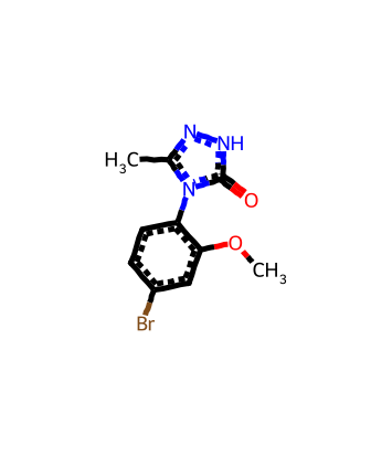 COc1cc(Br)ccc1-n1c(C)n[nH]c1=O